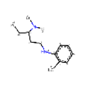 CCN(CC)C(CCNc1ccccc1C#N)CC(C)C